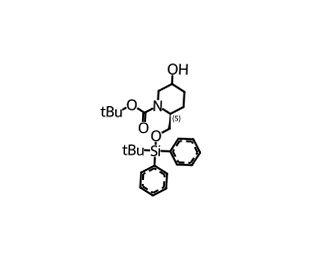 CC(C)(C)OC(=O)N1CC(O)CC[C@H]1CO[Si](c1ccccc1)(c1ccccc1)C(C)(C)C